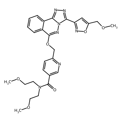 COCCN(CCOC)C(=O)c1ccc(COc2nn3c(-c4cc(COC)on4)nnc3c3ccccc23)nc1